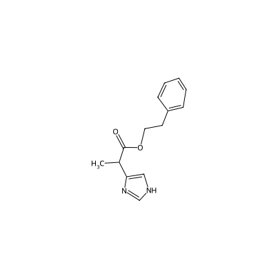 CC(C(=O)OCCc1ccccc1)c1c[nH]cn1